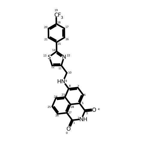 O=C1NC(=O)c2ccc(NCc3csc(-c4ccc(C(F)(F)F)cc4)n3)c3cccc1c23